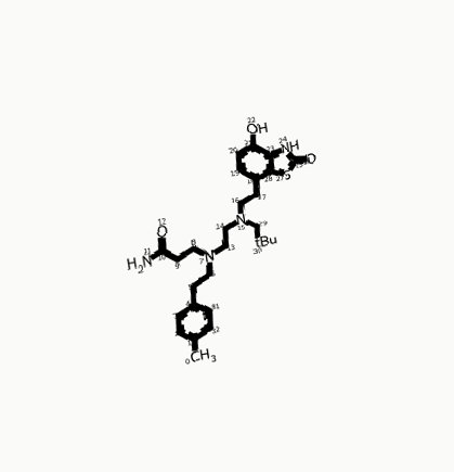 Cc1ccc(CCN(CCC(N)=O)CCN(CCc2ccc(O)c3[nH]c(=O)sc23)CC(C)(C)C)cc1